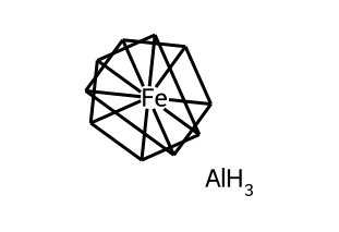 [AlH3].[CH]12[CH]3[CH]4[CH]5[CH]1[Fe]23451678[CH]2[CH]1[CH]6[CH]7[CH]28